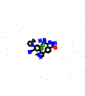 Cn1ncc(-c2ccc3c(=O)[nH]nc(CN)c3c2)c1C1(F)CC(C#N)=C(N2CCCC23CC3)C=C1Cl